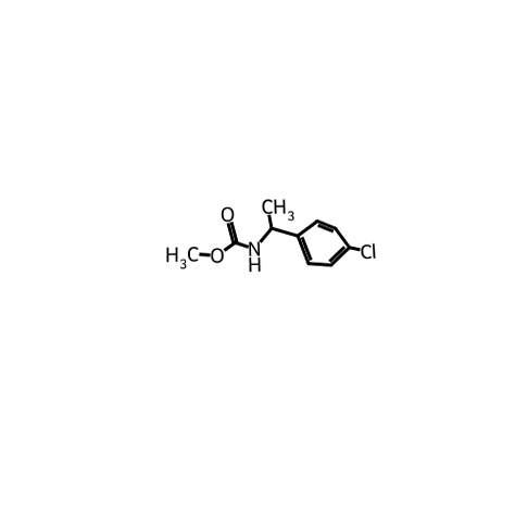 COC(=O)NC(C)c1ccc(Cl)cc1